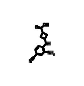 N#Cc1ccc(NC2CC(C(=O)O)C2)c(N)c1